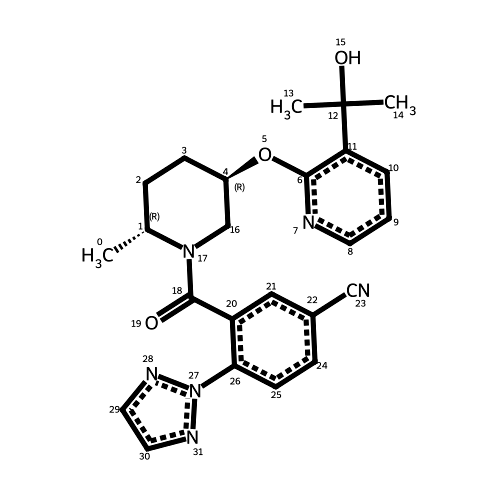 C[C@@H]1CC[C@@H](Oc2ncccc2C(C)(C)O)CN1C(=O)c1cc(C#N)ccc1-n1nccn1